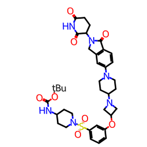 CC(C)(C)OC(=O)NC1CCN(S(=O)(=O)c2cccc(OC3CN(C4CCN(c5ccc6c(c5)CN(C5CCC(=O)NC5=O)C6=O)CC4)C3)c2)CC1